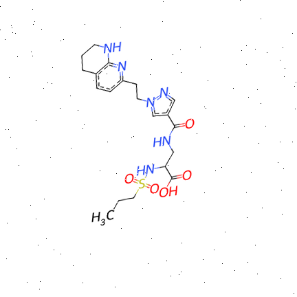 CCCS(=O)(=O)NC(CNC(=O)c1cnn(CCc2ccc3c(n2)NCCC3)c1)C(=O)O